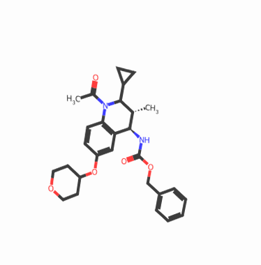 CC(=O)N1c2ccc(OC3CCOCC3)cc2[C@H](NC(=O)OCc2ccccc2)[C@@H](C)C1C1CC1